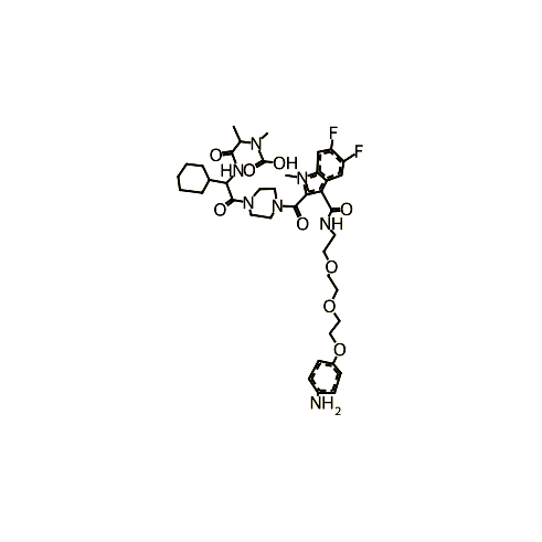 CC(C(=O)NC(C(=O)N1CCN(C(=O)c2c(C(=O)NCCOCCOCCOc3ccc(N)cc3)c3cc(F)c(F)cc3n2C)CC1)C1CCCCC1)N(C)C(=O)O